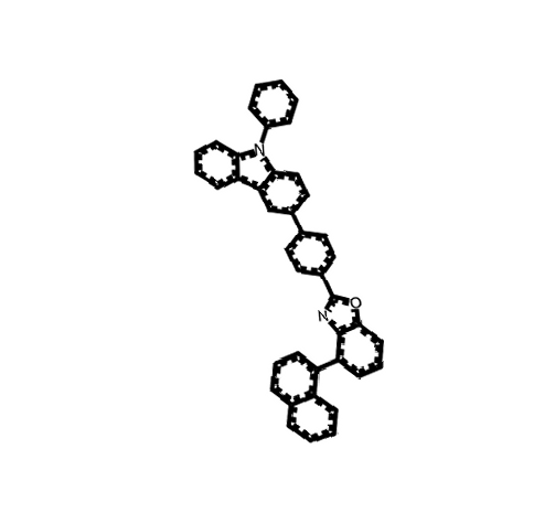 c1ccc(-n2c3ccccc3c3cc(-c4ccc(-c5nc6c(-c7cccc8ccccc78)cccc6o5)cc4)ccc32)cc1